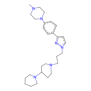 CN1CCN(c2ccc(-c3ccn(CCCN4CCC(N5CCCCC5)CC4)n3)cc2)CC1